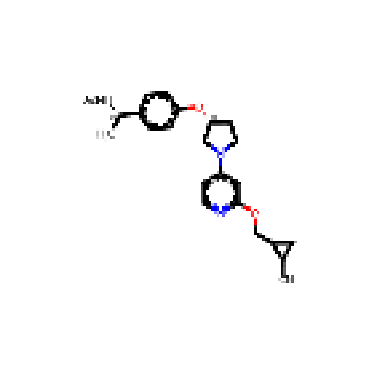 CC(=O)N[C@@H](C)c1ccc(O[C@@H]2CCN(c3ccnc(OCC4CC4C#N)c3)C2)cc1